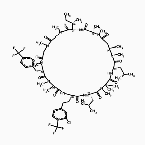 CC[C@H](C)[C@@H]1NC(=O)[C@H](C)N(C)C(=O)C[C@@H](C)N(C)C(=O)[C@H](CC(C)C)NC(=O)C(C)(C)N(C)C(=O)[C@H](CC(C)C)NC(=O)[C@H](CCc2ccc(C(F)(F)F)c(Cl)c2)NC(=O)[C@@H](C)N(C)C(=O)[C@H](Cc2ccc(C(F)(F)F)cc2)N(C)C(=O)CN(C)C(=O)CN(C)C1=O